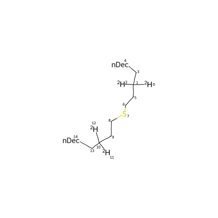 [2H]C([2H])(CCCCCCCCCCC)CCSCCC([2H])([2H])CCCCCCCCCCC